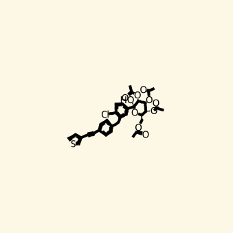 CC(=O)OC[C@H]1O[C@@](O)(c2ccc(Cl)c(Cc3ccc(C#Cc4ccsc4)cc3)c2)[C@H](OC(C)=O)[C@@H](OC(C)=O)[C@@H]1OC(C)=O